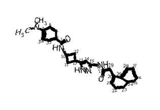 CN(C)c1ccc(C(=O)NC2CC(c3cc(NC(=O)Cc4cccc5ccccc45)n[nH]3)C2)cc1